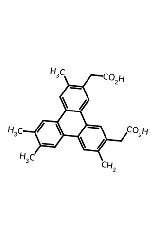 Cc1cc2c(cc1C)c1cc(C)c(CC(=O)O)cc1c1cc(CC(=O)O)c(C)cc21